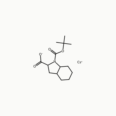 CC(C)(C)OC(=O)N1C(C(=O)[O-])CC2CCCCC21.[Cs+]